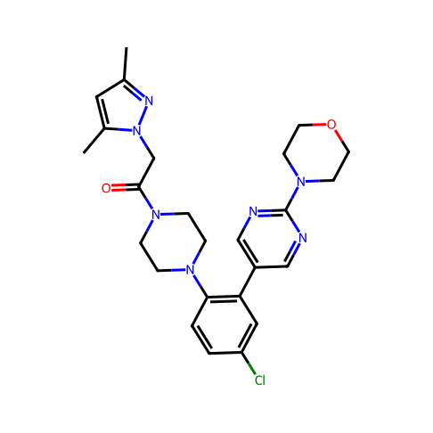 Cc1cc(C)n(CC(=O)N2CCN(c3ccc(Cl)cc3-c3cnc(N4CCOCC4)nc3)CC2)n1